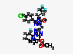 CC(=O)OC(C)c1nc(Cn2nc(-c3ccc(Cl)cc3)n(CCC(F)(F)F)c2=O)nn1-c1ncccc1F